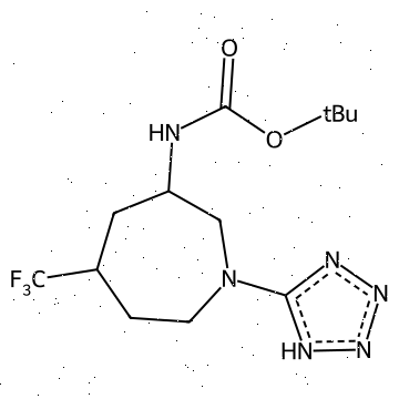 CC(C)(C)OC(=O)NC1CC(C(F)(F)F)CCN(c2nnn[nH]2)C1